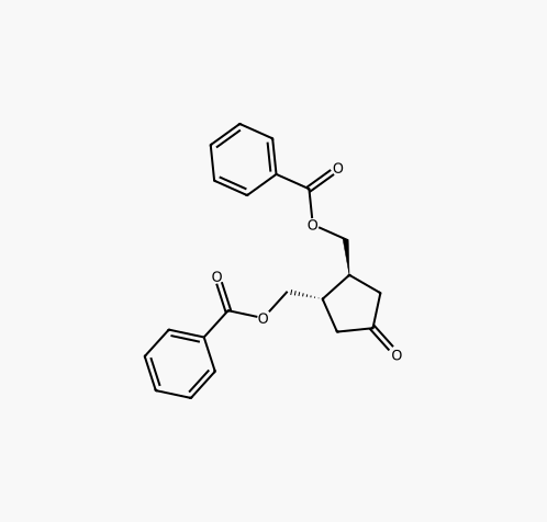 O=C1C[C@H](COC(=O)c2ccccc2)[C@@H](COC(=O)c2ccccc2)C1